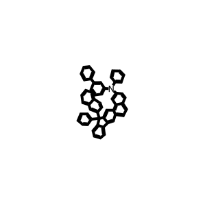 c1ccc(-c2cccc(N(c3ccccc3)c3ccc4ccc5cc6c(cc5c4c3)C(c3ccccc3)(c3ccc4ccccc4c3)c3ccccc3-6)c2)cc1